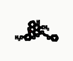 CC1=C(C(=O)OCCOc2ccccc2)C(c2coc3ccc(C)cc3c2=O)C2=C(CCCC2=O)N1